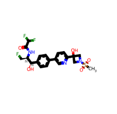 CS(=O)(=O)N1CC(O)(c2ccc(-c3ccc([C@H](O)[C@@H](CF)NC(=O)C(F)F)cc3)cn2)C1